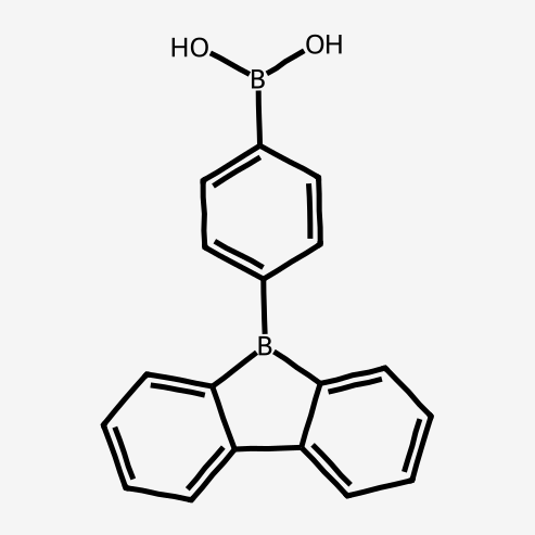 OB(O)c1ccc(B2c3ccccc3-c3ccccc32)cc1